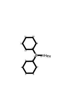 CCCCCCB(C1CCCCC1)C1CCCCC1